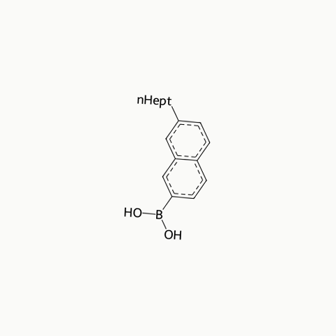 CCCCCCCc1ccc2ccc(B(O)O)cc2c1